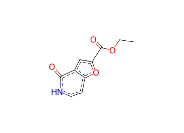 CCOC(=O)c1cc2c(=O)[nH]ccc2o1